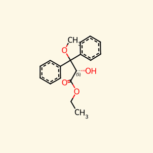 CCOC(=O)[C@@H](O)C(OC)(c1ccccc1)c1ccccc1